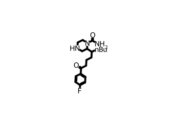 CCCCC(CCCC(=O)c1ccc(F)cc1)C1CNCCN1C(N)=O